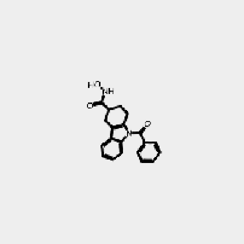 O=C(NO)C1CCc2c(c3ccccc3n2C(=O)c2ccccc2)C1